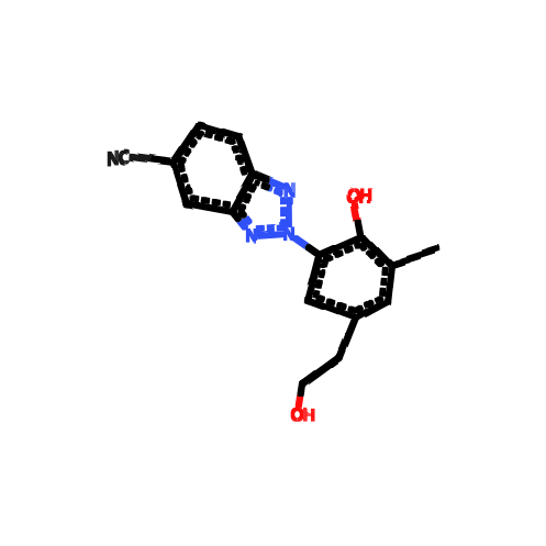 Cc1cc(CCO)cc(-n2nc3ccc(C#N)cc3n2)c1O